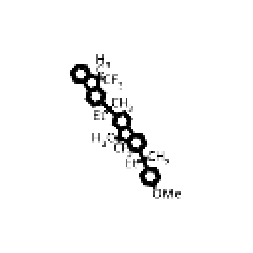 CCC(C)(c1ccc(OC)cc1)c1ccc2c(c1)C(C)(C(F)(F)F)c1cc(C(C)(CC)c3ccc4c(c3)C(C)(C(F)(F)F)c3ccccc3-4)ccc1-2